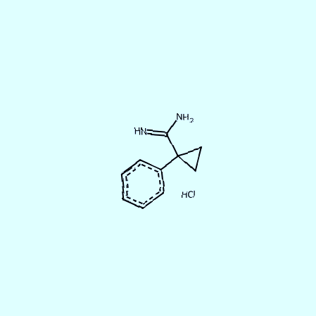 Cl.N=C(N)C1(c2ccccc2)CC1